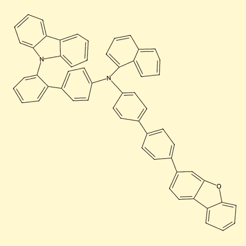 c1ccc(-n2c3ccccc3c3ccccc32)c(-c2ccc(N(c3ccc(-c4ccc(-c5ccc6c(c5)oc5ccccc56)cc4)cc3)c3cccc4ccccc34)cc2)c1